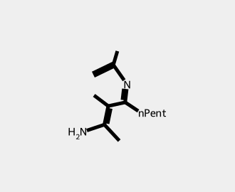 C=C(C)/N=C(CCCCC)\C(C)=C(/C)N